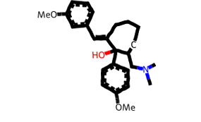 COc1ccc(C2(O)/C(=C/c3cccc(OC)c3)CCCCC2CN(C)C)cc1